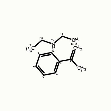 C=C(C)c1ccccc1.CCNCO